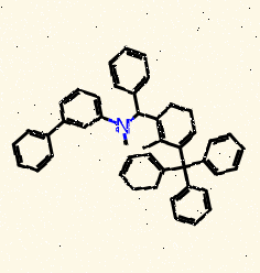 CC1=C(C(c2ccccc2)N(C)c2cccc(-c3ccccc3)c2)CCC=C1C(C1=CC=CCC1)(c1ccccc1)c1ccccc1